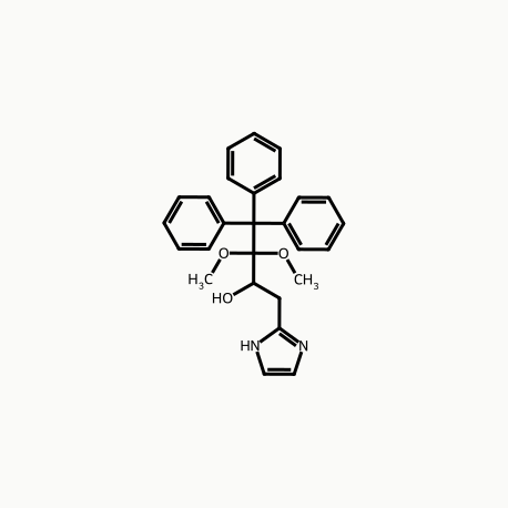 COC(OC)(C(O)Cc1ncc[nH]1)C(c1ccccc1)(c1ccccc1)c1ccccc1